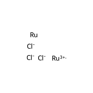 [Cl-].[Cl-].[Cl-].[Ru+3].[Ru]